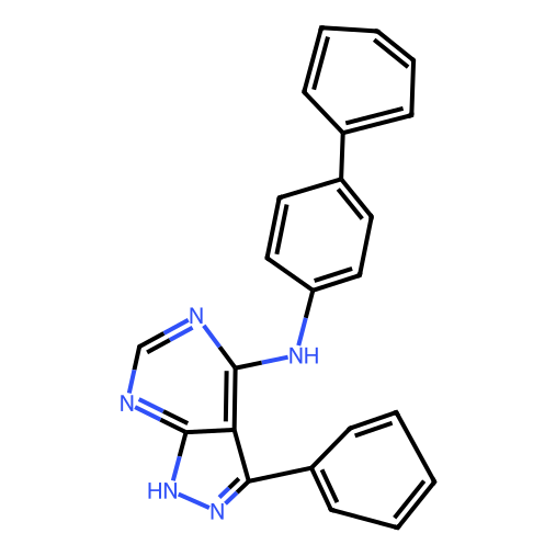 c1ccc(-c2ccc(Nc3ncnc4[nH]nc(-c5ccccc5)c34)cc2)cc1